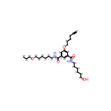 C#CCCCCOc1cc(C(=O)NCCCCCCO)cc(C(=O)NCCCCCCOCCC)c1